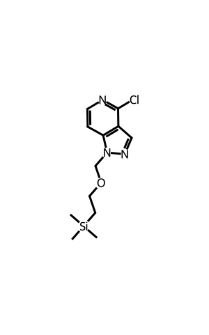 C[Si](C)(C)CCOCn1ncc2c(Cl)nccc21